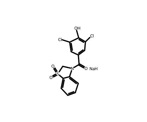 O=C(c1cc(Cl)c(O)c(Cl)c1)N1CS(=O)(=O)c2ccccc21.[NaH]